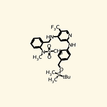 CN(c1ccccc1CNc1cc(Nc2ccc(CO[Si](C)(C)C(C)(C)C)cc2)ncc1C(F)(F)F)S(C)(=O)=O